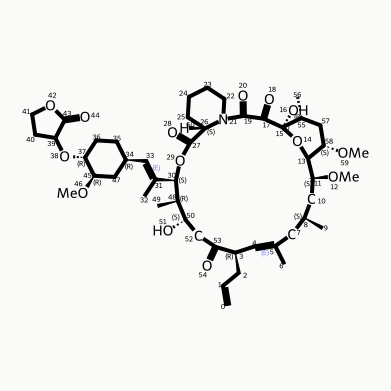 C=CC[C@@H]1/C=C(\C)C[C@H](C)C[C@H](OC)C2O[C@@](O)(C(=O)C(=O)N3CCCC[C@H]3C(=O)O[C@H](/C(C)=C/[C@@H]3CC[C@@H](OC4CCOC4=O)[C@H](OC)C3)[C@H](C)[C@@H](O)CC1=O)[C@H](C)C[C@@H]2OC